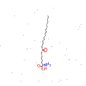 CCCCCCCCCCCCCCCC(=O)CCCCCC(N)C(=O)O